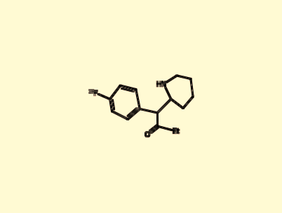 CCC(=O)C(c1ccc([18F])cc1)C1CCCCN1